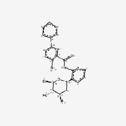 CC[C@H]1O[C@@H](c2ccncc2NC(=O)c2nc(-c3ccccc3)cnc2N)C[C@@H](N)[C@@H]1O